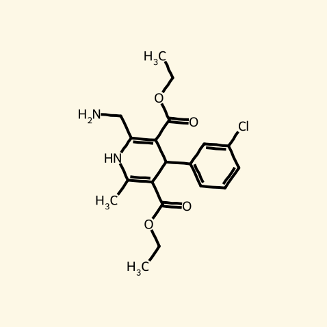 CCOC(=O)C1=C(C)NC(CN)=C(C(=O)OCC)C1c1cccc(Cl)c1